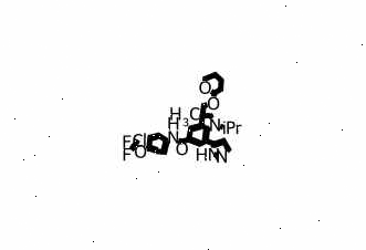 CC(C)N1CC(C)(COC2CCCCO2)c2cc(C(=O)Nc3ccc(OC(F)(F)Cl)cc3)cc(-c3ccn[nH]3)c21